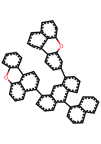 c1ccc2c(c1)Oc1cccc3c(-c4cccc5c(-c6cccc7ccccc67)c6cccc(-c7ccc8c(c7)Oc7cccc9cccc-8c79)c6cc45)ccc-2c13